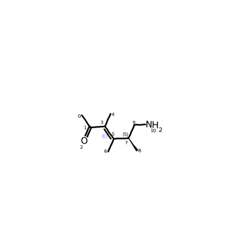 CC(=O)/C(C)=C(\C)[C@H](C)CN